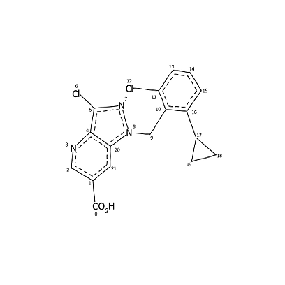 O=C(O)c1cnc2c(Cl)nn(Cc3c(Cl)cccc3C3CC3)c2c1